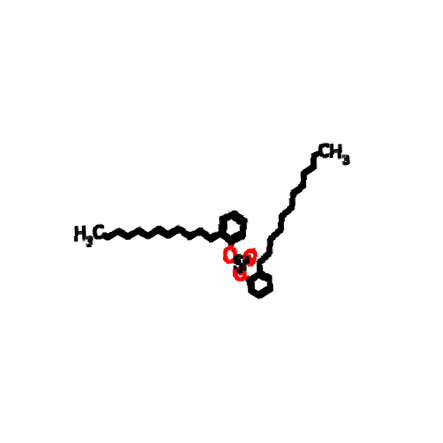 CCCCCCCCCCCCc1ccccc1O[Si](=O)Oc1ccccc1CCCCCCCCCCCC